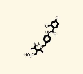 C=C(C)/C(CC(=O)O)=C(/C)N(N)Cc1ccc(NC(=O)c2ccc(Cl)cc2Cl)cc1